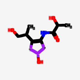 CC(O)C(=O)NC1=C(C(C)CO)[I]I(O)[I]1